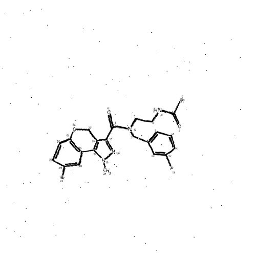 CC(C)C(=O)NCCN(Cc1cccc(F)c1)C(=O)c1nn(C)c2c1COc1ccc(Br)cc1-2